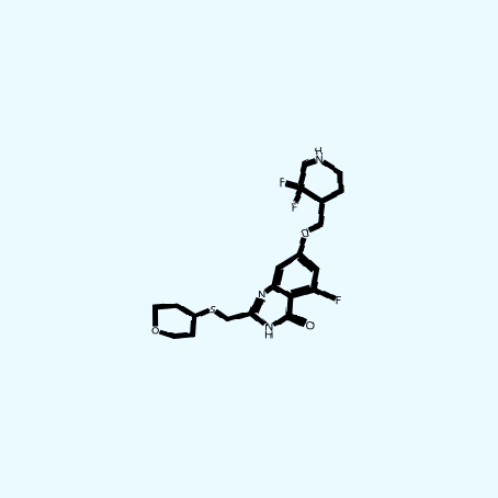 O=c1[nH]c(CSC2CCOCC2)nc2cc(OCC3CCNCC3(F)F)cc(F)c12